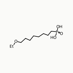 CCOCCCCCCCCP(=O)(O)O